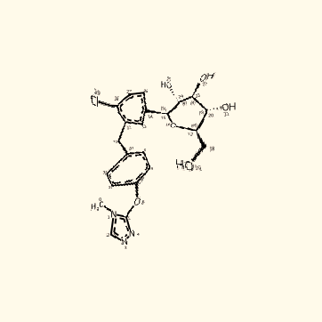 Cn1cnnc1Oc1ccc(Cc2cc([C@@H]3O[C@H](CO)[C@@H](O)[C@H](O)[C@H]3O)ccc2Cl)cc1